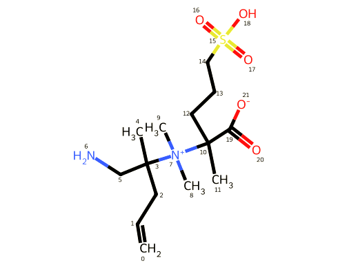 C=CCC(C)(CN)[N+](C)(C)C(C)(CCCS(=O)(=O)O)C(=O)[O-]